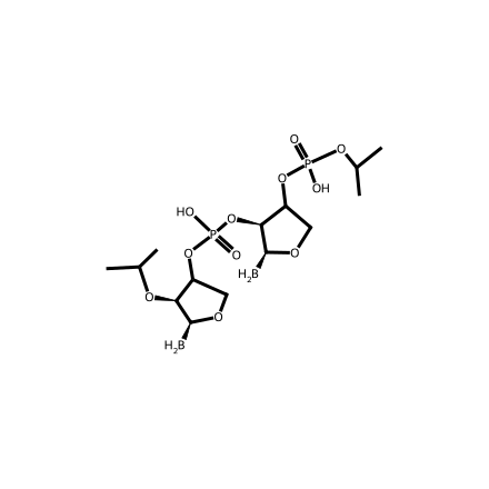 B[C@@H]1OCC(OP(=O)(O)O[C@H]2C(OP(=O)(O)OC(C)C)CO[C@H]2B)[C@@H]1OC(C)C